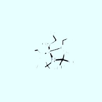 CCN[Si](OCC)(OCC)N(C(C)(C)C)C(C)(C)C